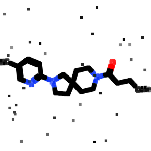 COCCC(=O)N1CCC2(CC1)CCN(c1ccc(C#N)cn1)C2